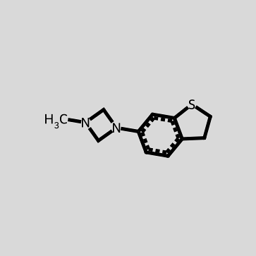 CN1CN(c2ccc3c(c2)SCC3)C1